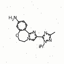 Cc1nc(-c2cn3c(n2)-c2ccc(N)cc2OCC3)n(C(C)C)n1